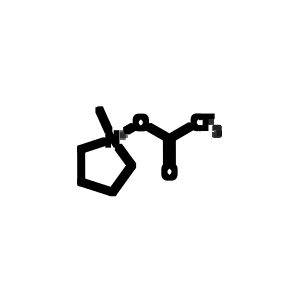 C[N+]1(OC(=O)C(F)(F)F)CCCC1